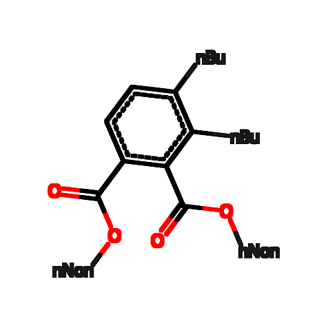 CCCCCCCCCOC(=O)c1ccc(CCCC)c(CCCC)c1C(=O)OCCCCCCCCC